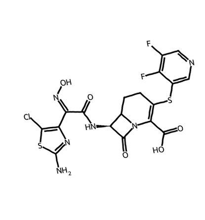 Nc1nc(/C(=N/O)C(=O)N[C@@H]2C(=O)N3C(C(=O)O)=C(Sc4cncc(F)c4F)CCC23)c(Cl)s1